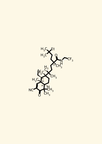 CCC(C)(C)CC[C@@](C)(CCC(C)(C)[C@]1(C)CC[C@H]2C(C)(C)C(=O)C(C#N)=C[C@]2(C)[C@H]1CC(C)=O)C(=O)NCC(F)(F)F